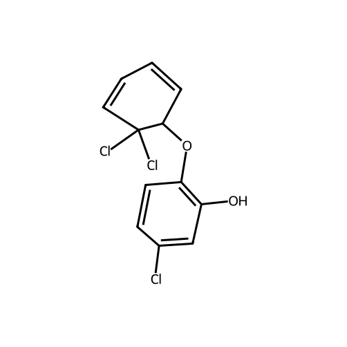 Oc1cc(Cl)ccc1OC1C=CC=CC1(Cl)Cl